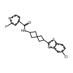 O=C(NC1CC2(C1)CC(c1nc3cc(Cl)ccc3s1)C2)c1ccnc(F)c1